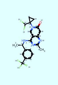 Cc1nc(N[C@H](C)c2cccc(C(F)(F)F)c2)c2cn(C3(C(F)F)CC3)c(=O)cc2n1